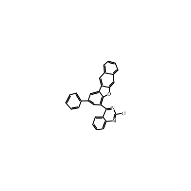 Clc1nc(-c2cc(-c3ccccc3)cc3c2oc2cc4ccccc4cc23)c2ccccc2n1